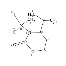 CC(C)C1CCOC(=O)N1C(C)(C)I